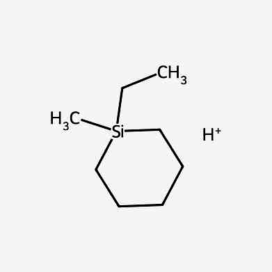 CC[Si]1(C)CCCCC1.[H+]